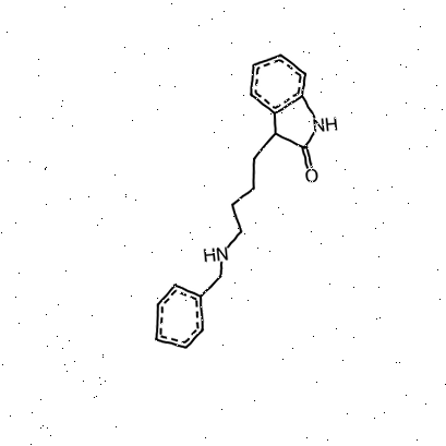 O=C1Nc2ccccc2C1CCCCNCc1ccccc1